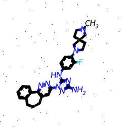 CN1CCC2(CCN(c3ccc(Nc4nc(N)nn4-c4cc5c(nn4)-c4ccccc4CCC5)cc3F)C2)C1